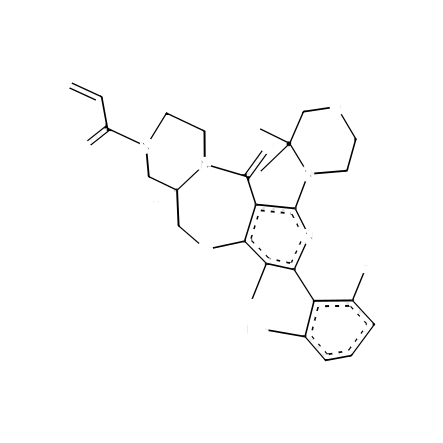 C=CC(=O)N1CCN2C(=O)c3c(N4CCOCC4(C)C)nc(-c4c(O)cccc4F)c(Cl)c3OC[C@H]2C1